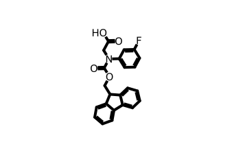 O=C(O)CN(C(=O)OCC1c2ccccc2-c2ccccc21)c1cccc(F)c1